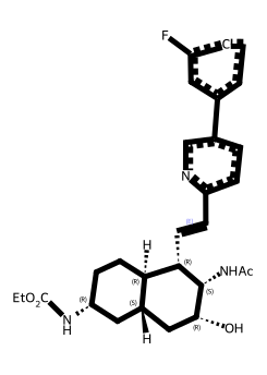 CCOC(=O)N[C@@H]1CC[C@@H]2[C@@H](C1)C[C@@H](O)[C@@H](NC(C)=O)[C@H]2/C=C/c1ccc(-c2cccc(F)c2)cn1